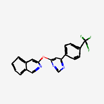 FC(F)(F)c1ccc(-c2cc(Oc3cc4ccccc4cn3)ncn2)cc1